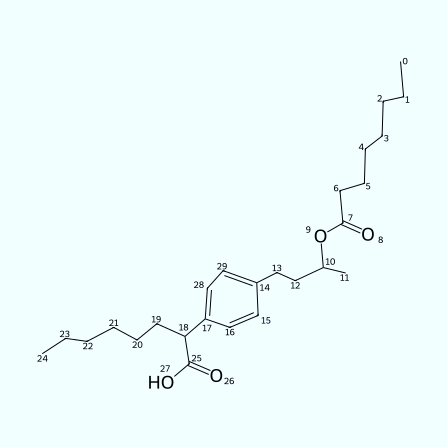 CCCCCCCC(=O)OC(C)CCc1ccc(C(CCCCCC)C(=O)O)cc1